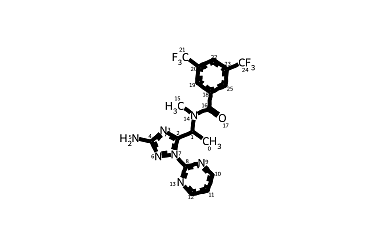 CC(c1nc(N)nn1-c1ncccn1)N(C)C(=O)c1cc(C(F)(F)F)cc(C(F)(F)F)c1